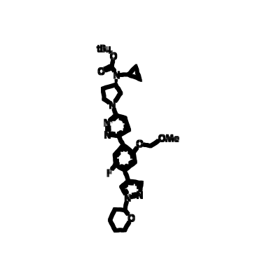 COCOc1cc(-c2cnn(C3CCCCO3)c2)c(F)cc1-c1ccc(N2CC[C@H](N(C(=O)OC(C)(C)C)C3CC3)C2)nn1